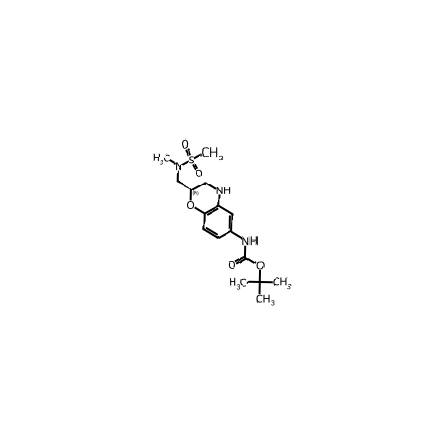 CN(C[C@H]1CNc2cc(NC(=O)OC(C)(C)C)ccc2O1)S(C)(=O)=O